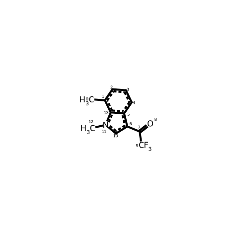 Cc1cccc2c(C(=O)C(F)(F)F)cn(C)c12